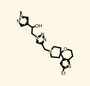 CCc1cc2c(s1)CCOC21CCN(Cc2cn(CC(O)c3cnn(C)c3)nn2)CC1